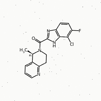 C[C@@H]1c2cccnc2CCN1C(=O)c1nc2ccc(F)c(Cl)c2[nH]1